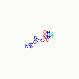 CN(C)c1ccc(-c2ccn3c(-c4cccc(N(OC=O)C(=O)NCC(F)(F)F)c4)cnc3c2)nn1